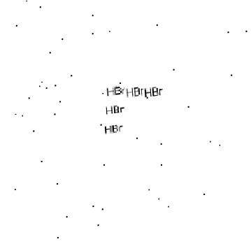 Br.Br.Br.Br.Br